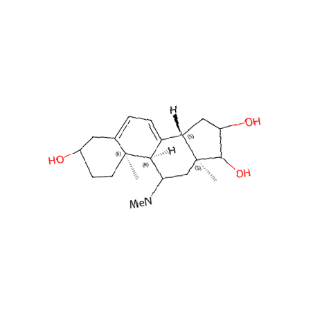 CNC1C[C@]2(C)C(O)C(O)C[C@H]2C2=CC=C3CC(O)CC[C@]3(C)[C@@H]21